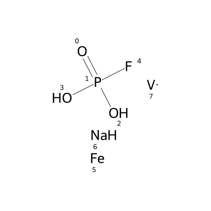 O=P(O)(O)F.[Fe].[NaH].[V]